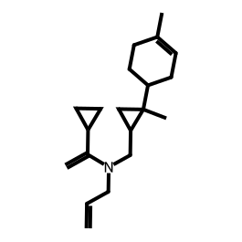 C=CCN(CC1CC1(C)C1CC=C(C)CC1)C(=C)C1CC1